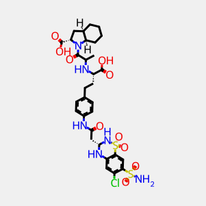 CC(N[C@@H](CCc1ccc(NC(=O)C[C@H]2Nc3cc(Cl)c(S(N)(=O)=O)cc3S(=O)(=O)N2)cc1)C(=O)O)C(=O)N1[C@@H]2CCCC[C@@H]2C[C@H]1C(=O)O